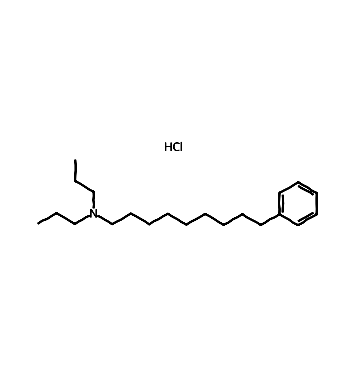 CCCN(CCC)CCCCCCCCCc1ccccc1.Cl